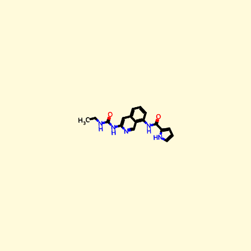 CCNC(=O)Nc1cc2cccc(NC(=O)c3ccc[nH]3)c2cn1